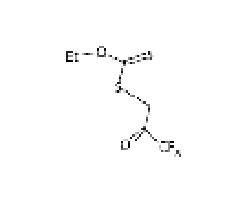 CCOC(=S)SCC(=O)C(F)(F)F